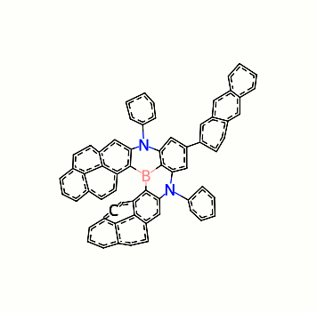 c1ccc(N2c3cc(-c4ccc5cc6ccccc6cc5c4)cc4c3B(c3c2cc2ccc5cccc6ccc3c2c56)c2c(cc3ccc5cccc6ccc2c3c56)N4c2ccccc2)cc1